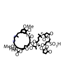 COc1cc2cc(c1Cl)N(C)C(=O)CC(OC(=O)C(C)N(C)C(=O)CCC(C)(C)SC1CC(=O)N(CC(CC(=O)ON3C(=O)CCC3=O)S(=O)(=O)O)C1=O)C1(C)CC(C)(O1)C1CC(O)(NC(=O)O1)C(OC)/C=C/C=C(\C)C2